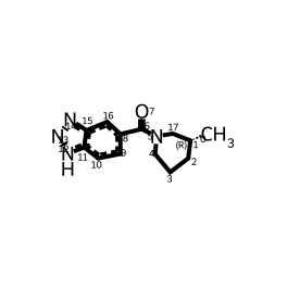 C[C@@H]1CCCN(C(=O)c2ccc3[nH]nnc3c2)C1